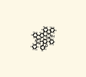 c1ccc(C2=NC(c3ccc(-c4ccccc4-c4nc(-c5ccccc5)nc(-c5cccc6oc7ccccc7c56)n4)cc3-c3ccccc3)=NC(c3ccccc3)N2)cc1